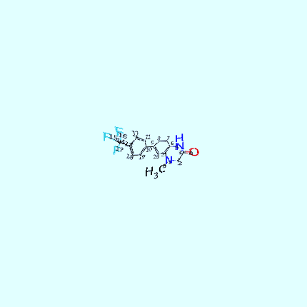 CN1CC(=O)Nc2ccc(-c3ccc(C(F)(F)F)cc3)cc21